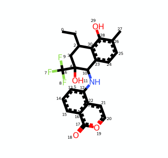 CCC1CC(O)(C(F)(F)F)C(Nc2cccc3c(=O)occc23)c2ccc(C)c(O)c21